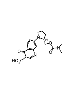 CN(C)C(=O)OC[C@H]1CCCN1c1ccc2c(c1)N=CC(C(=O)O)C2=O